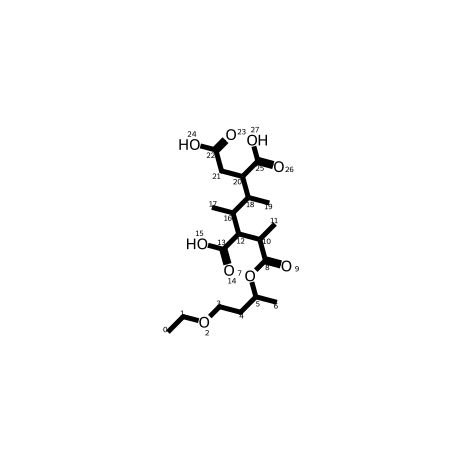 CCOCCC(C)OC(=O)C(C)C(C(=O)O)C(C)C(C)C(CC(=O)O)C(=O)O